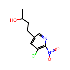 CC(O)CCc1cnc([N+](=O)[O-])c(Cl)c1